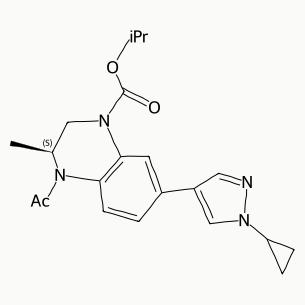 CC(=O)N1c2ccc(-c3cnn(C4CC4)c3)cc2N(C(=O)OC(C)C)C[C@@H]1C